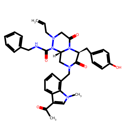 C=CCN1CC(=O)N2[C@@H](Cc3ccc(O)cc3)C(=O)N(Cc3cccc4c(C(C)=O)cn(C)c34)C[C@@H]2N1C(=O)NCc1ccccc1